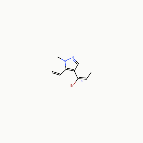 C=Cc1c(/C(Br)=C\C)cnn1C